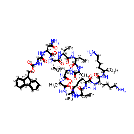 CC[C@H](C)[C@H](NC(=O)[C@H](C)NC(=O)[C@@H](NC(=O)[C@H](C)NC(=O)[C@H](CC(C)C)NC(=O)[C@H](CC(C)C)NC(=O)[C@H](CC(C)C)NC(=O)[C@H](CC(N)=O)NC(=O)CNC(=O)OCC1c2ccccc2-c2ccccc21)C(C)C)C(=O)N[C@@H](CC(C)C)C(=O)N[C@@H](CCCCN)C(=O)N[C@@H](CCCCN)C(=O)N[C@@H](CCCCN)C(=O)O